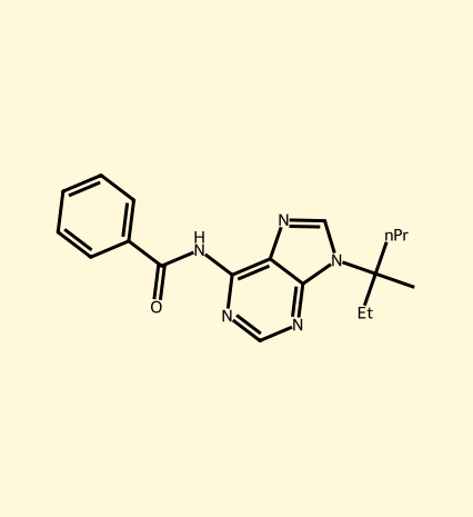 CCCC(C)(CC)n1cnc2c(NC(=O)c3ccccc3)ncnc21